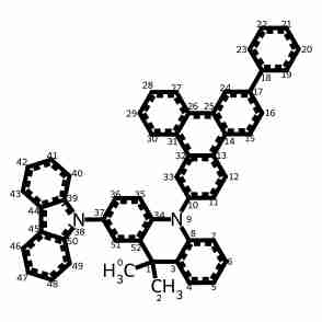 CC1(C)c2ccccc2N(c2ccc3c4ccc(-c5ccccc5)cc4c4ccccc4c3c2)c2ccc(-n3c4ccccc4c4ccccc43)cc21